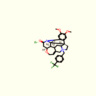 COc1cc2c(cc1OC)[C@@]13CC[N+]4(Cc5ccc(C(F)(F)F)cc5)CC5=CCO[C@H]6CC(=O)N2[C@H]1[C@H]6[C@H]5C[C@@H]34.[Br-]